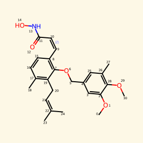 COc1cc(COc2c(/C=C\C(=O)NO)ccc(C)c2CC=C(C)C)cc(C)c1OC